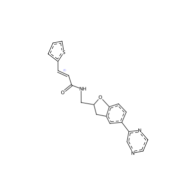 O=C(/C=C/c1cccs1)NCC1Cc2cc(-c3cnccn3)ccc2O1